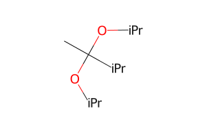 CC(C)OC(C)(OC(C)C)C(C)C